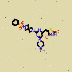 CN1CCN(c2cc(C=C3SC(=O)NC3=O)nc(N3CC4(C3)CN(S(=O)(=O)c3ccccc3)C4)n2)CC1